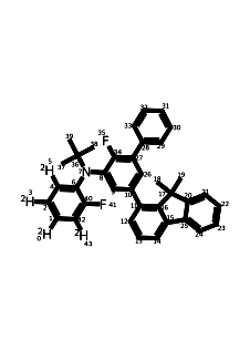 [2H]c1c([2H])c([2H])c(N(c2cc(-c3cccc4c3C(C)(C)c3ccccc3-4)cc(-c3ccccc3)c2F)C(C)(C)C)c(F)c1[2H]